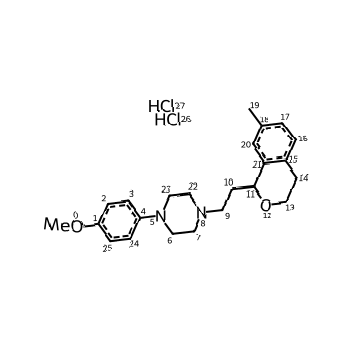 COc1ccc(N2CCN(CCC3OCCc4ccc(C)cc43)CC2)cc1.Cl.Cl